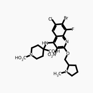 CN1CCCC1COc1nc2c(F)c(Br)c(Cl)cc2c(NC2(C(=O)O)CCN(C(=O)O)CC2)c1[N+](=O)[O-]